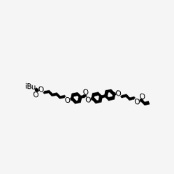 C=CC(=O)OCCCCOc1ccc(-c2ccc(OC(=O)c3ccc(OCCCCCCOC(=O)C(C)CC)cc3)cc2)cc1